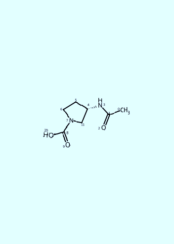 CC(=O)N[C@H]1CCN(C(=O)O)C1